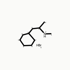 Br.CNC(C)CC1CCCCC1